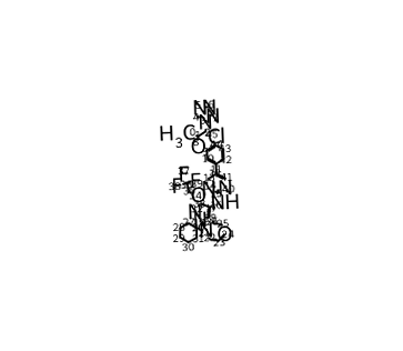 CC(Cn1cnnn1)Oc1cc(-c2cnc(Nc3cn(C4(N5CCOCC5)CCCCC4)nc3OCC(F)(F)F)nc2)ccc1Cl